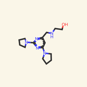 OCCNCc1cc(N2CCCC2)nc(N2CCCC2)n1